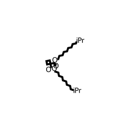 CC(C)CCCCCCCCCOC(=O)C1(C(=O)OCCCCCCCCCC(C)C)CCC1